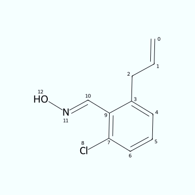 C=CCc1cccc(Cl)c1C=NO